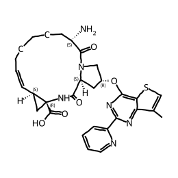 Cc1csc2c(O[C@@H]3C[C@H]4C(=O)N[C@]5(C(=O)O)C[C@H]5C=CCCCCC[C@H](N)C(=O)N4C3)nc(-c3ccccn3)nc12